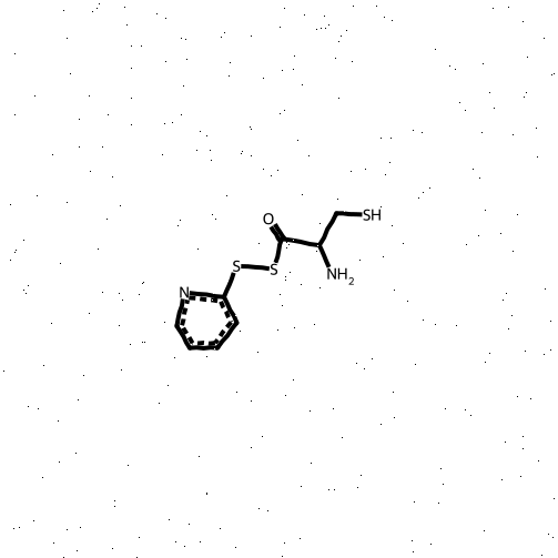 NC(CS)C(=O)SSc1ccccn1